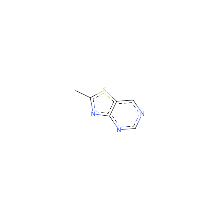 Cc1nc2ncncc2s1